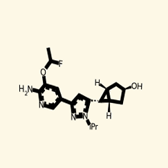 CC(F)Oc1cc(-c2cc([C@@H]3[C@@H]4C[C@@H](O)C[C@@H]43)n(C(C)C)n2)cnc1N